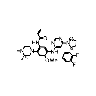 C=CC(=O)Nc1cc(Nc2cc(N3OCC[C@@H]3c3cccc(F)c3F)ncn2)c(OC)cc1N1CCN(C)[C@H](C)C1